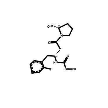 CC(C)(C)OC(=O)N[C@@H](CC(=O)N1CCC[C@H]1C=O)Cc1ccccc1F